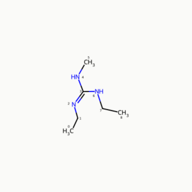 CC/N=C(/NC)NCC